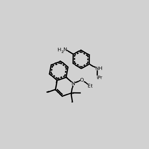 CC(C)Nc1ccc(N)cc1.CCON1c2ccccc2C(C)=CC1(C)C